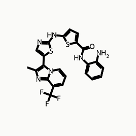 Cc1nc2c(C(F)(F)F)cccn2c1-c1cnc(Nc2ccc(C(=O)Nc3ccccc3N)s2)s1